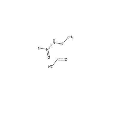 CON[N+](=O)[O-].O=CO